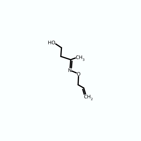 C=CCO/N=C(\C)CCO